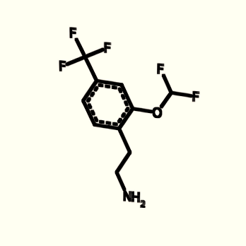 NCCc1ccc(C(F)(F)F)cc1OC(F)F